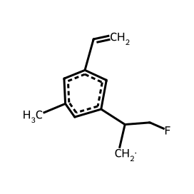 [CH2]C(CF)c1cc(C)cc(C=C)c1